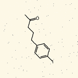 CC(=O)CCCc1ccc(I)cc1